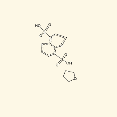 C1CCOC1.O=S(=O)(O)c1cccc2c(S(=O)(=O)O)cccc12